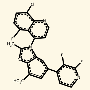 Cc1nc2c(C(=O)O)cc(-c3ccnc(F)c3F)cc2n1-c1ccnc2c(Cl)ccc(F)c12